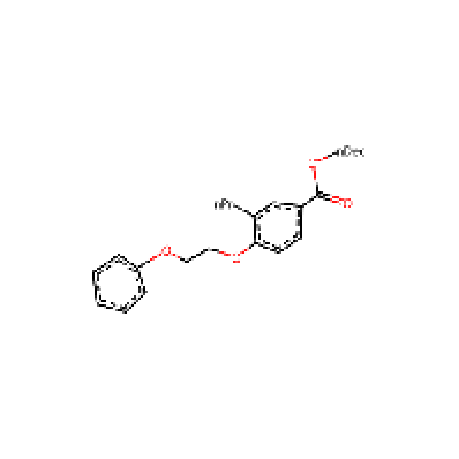 CCCCCCCCCCOC(=O)c1ccc(OCCOc2ccccc2)c(CCC)c1